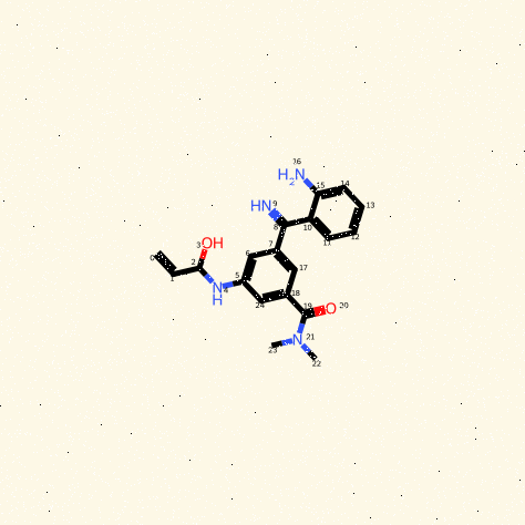 C=CC(O)Nc1cc(C(=N)c2ccccc2N)cc(C(=O)N(C)C)c1